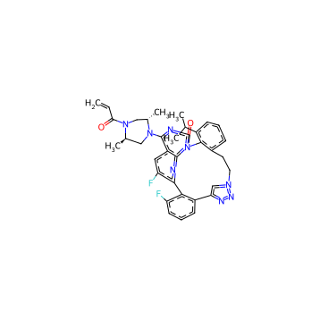 C=CC(=O)N1C[C@H](C)N(c2nc(=O)n3c4nc(c(F)cc24)-c2c(F)cccc2-c2cn(nn2)CCc2cccc(C(C)C)c2-3)C[C@H]1C